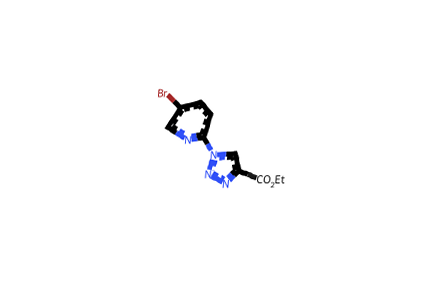 CCOC(=O)c1cn(-c2ccc(Br)cn2)nn1